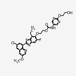 CCc1c(OCCOC(=O)Nc2cnc(OCCO)nc2)c(F)cc2nc(-c3cc(Cl)cc4cc(OC)cnc34)sc12